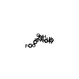 NC(=O)C(Cc1ccc(Oc2ccc(F)cc2)cc1)NC(=O)CN1CCN(c2ncccn2)CC1